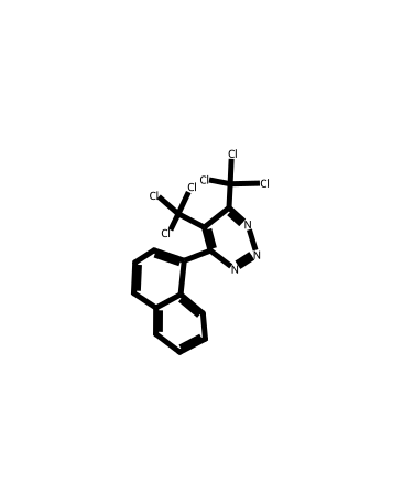 ClC(Cl)(Cl)c1nnnc(-c2cccc3ccccc23)c1C(Cl)(Cl)Cl